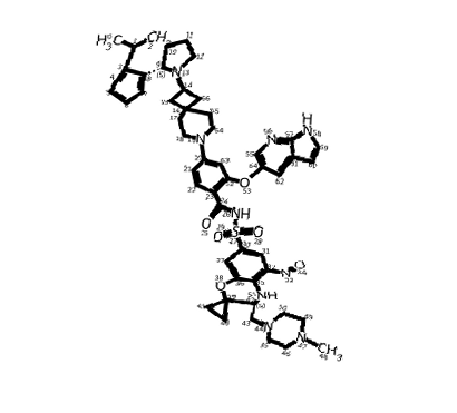 CC(C)c1ccccc1[C@@H]1CCCN1C1CC2(CCN(c3ccc(C(=O)NS(=O)(=O)c4cc(N=O)c5c(c4)OC4(CC4)[C@H](CN4CCN(C)CC4)N5)c(Oc4cnc5[nH]ccc5c4)c3)CC2)C1